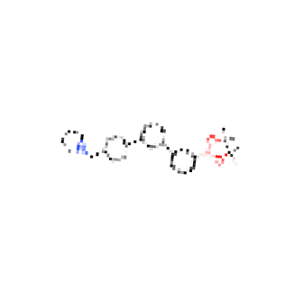 Cc1c(B2OC(C)(C)C(C)(C)O2)cccc1-c1cccc(-c2ccc(CN3CCCC3)cc2)c1C